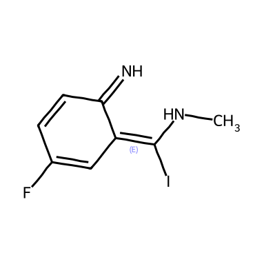 CN/C(I)=C1/C=C(F)C=CC1=N